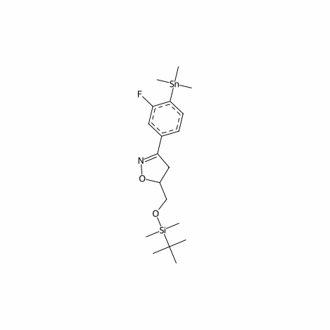 CC(C)(C)[Si](C)(C)OCC1CC(c2cc[c]([Sn]([CH3])([CH3])[CH3])c(F)c2)=NO1